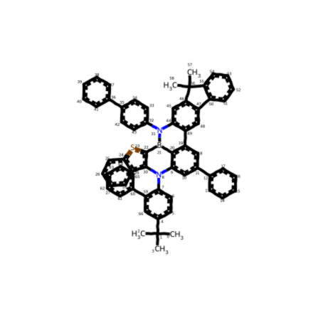 CC(C)(C)c1ccc(N2c3cc(-c4ccccc4)cc4c3B(c3sc5ccccc5c32)N(c2ccc(-c3ccccc3)cc2)c2cc3c(cc2-4)-c2ccccc2C3(C)C)c(-c2ccccc2)c1